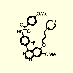 COc1ccc(S(=O)(=O)Nc2ccc(-c3ncnc4cc(OC)c(OCCCN5CCOCC5)cc34)c(F)c2)cc1